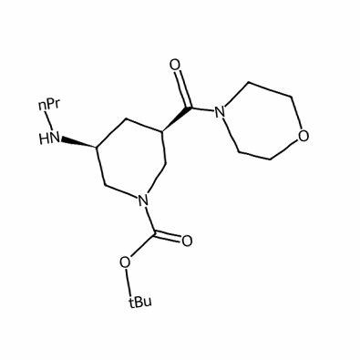 CCCN[C@H]1C[C@@H](C(=O)N2CCOCC2)CN(C(=O)OC(C)(C)C)C1